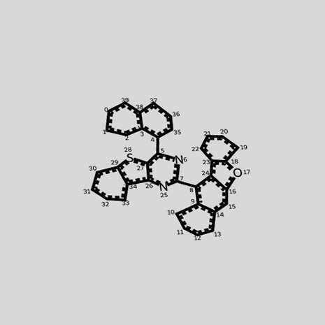 c1ccc2c(-c3nc(-c4c5ccccc5cc5oc6ccccc6c45)nc4c3sc3ccccc34)cccc2c1